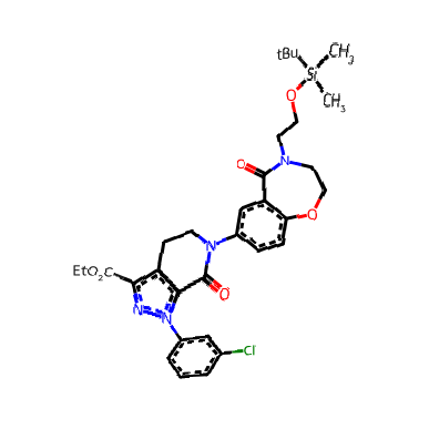 CCOC(=O)c1nn(-c2cccc(Cl)c2)c2c1CCN(c1ccc3c(c1)C(=O)N(CCO[Si](C)(C)C(C)(C)C)CCO3)C2=O